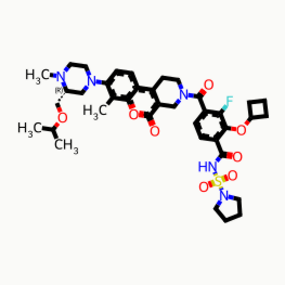 Cc1c(N2CCN(C)[C@@H](COC(C)C)C2)ccc2c3c(c(=O)oc12)CN(C(=O)c1ccc(C(=O)NS(=O)(=O)N2CCCC2)c(OC2CCC2)c1F)CC3